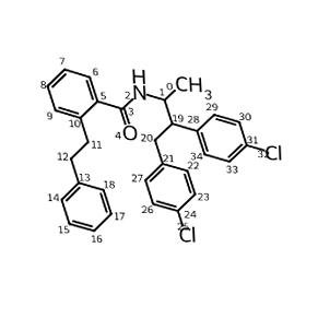 CC(NC(=O)c1ccccc1CCc1ccccc1)C(Cc1ccc(Cl)cc1)c1ccc(Cl)cc1